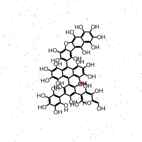 C\C(O)=C(/C(O)=C(O)\C(O)=C\O)c1c(O)c(-c2c(O)c(O)c(O)c(O)c2O)c(O)c(-c2c3c(O)c(O)c(O)c(O)c3c(-c3c(O)c(O)c4oc5c(O)c6c(O)c(O)c(O)c(O)c6c(O)c5c4c3O)c3c(O)c(O)c(O)c(O)c23)c1O